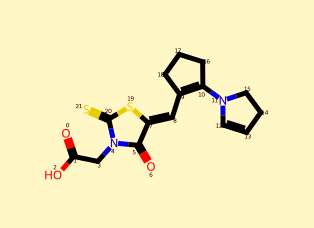 O=C(O)CN1C(=O)C(=CC2=C(N3C=CCC3)CCC2)SC1=S